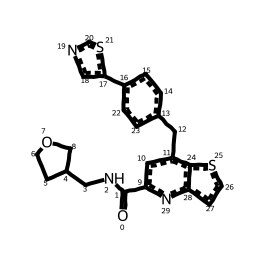 O=C(NCC1CCOC1)c1cc(Cc2ccc(-c3cncs3)cc2)c2sccc2n1